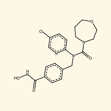 O=C(NO)c1ccc(CN(C(=O)N2CCCOCC2)c2ccc(Cl)cn2)cc1